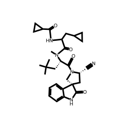 CN(C(=O)C(CC1CC1)NC(=O)C1CC1)[C@@H](CC(C)(C)C)C(=O)N1C[C@]2(C[C@H]1C#N)C(=O)Nc1ccccc12